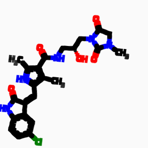 Cc1[nH]c(/C=C2\C(=O)Nc3ccc(Cl)cc32)c(C)c1C(=O)NC[C@@H](O)CN1C(=O)CN(C)C1=O